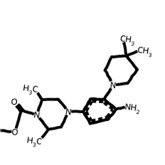 CC1CN(c2ccc(N)c(N3CCC(C)(C)CC3)c2)CC(C)N1C(=O)OC(C)(C)C